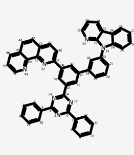 c1ccc(-c2nc(-c3ccccc3)nc(-c3cc(-c4cccc(-n5c6ccccc6c6cccnc65)c4)cc(-c4ccc5ccc6cccnc6c5n4)c3)n2)cc1